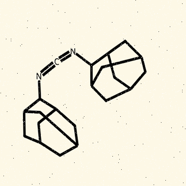 C(=NC1C2CC3CC(C2)CC1C3)=NC1C2CC3CC(C2)CC1C3